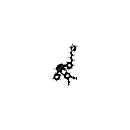 N#Cc1cc(-n2c3ccccc3c3ccccc32)c(-n2c3ccccc3c3cc(CCCCn4ccnc4)ccc32)cc1C#N